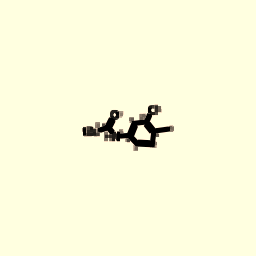 Cc1ccc(NC(=O)C(C)(C)C)cc1Cl